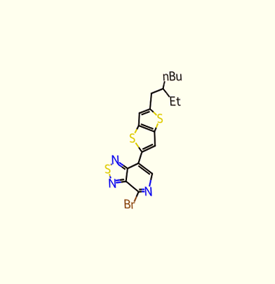 CCCCC(CC)Cc1cc2sc(-c3cnc(Br)c4nsnc34)cc2s1